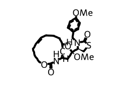 COc1ccc(CN2C(=O)SC[C@H]2[C@@]2(OC)C[C@H]3C[C@@H](CCC/C=C\CCCOC(=O)N3)O2)cc1